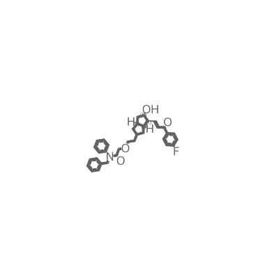 O=C(C=C[C@H]1[C@@H]2CC(CCOCC(=O)N(Cc3ccccc3)c3ccccc3)C[C@H]2C[C@@H]1O)c1ccc(F)cc1